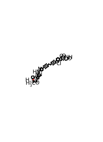 CN(C)C(=O)c1cc2cnc(Nc3ccc(N4CCN(CCN5CCN(c6ccc7c(c6Cl)CN(C6CCC(=O)NC6=O)C7=O)CC5)CC4)cn3)nc2n1C1CCCC1